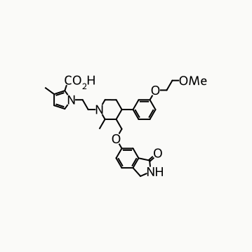 COCCOc1cccc(C2CCN(CCn3ccc(C)c3C(=O)O)C(C)C2COc2ccc3c(c2)C(=O)NC3)c1